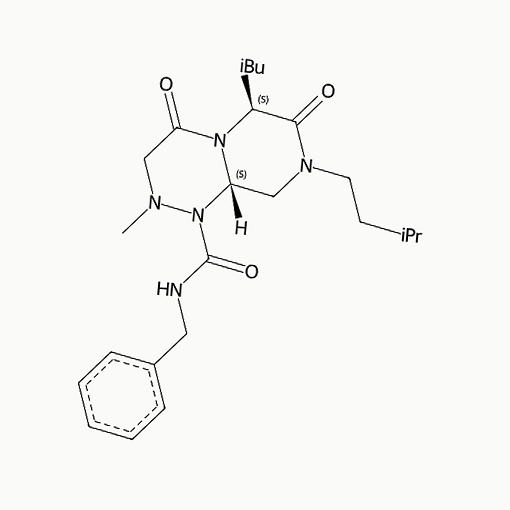 CCC(C)[C@H]1C(=O)N(CCC(C)C)C[C@H]2N1C(=O)CN(C)N2C(=O)NCc1ccccc1